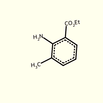 CCOC(=O)c1cccc(C)c1N